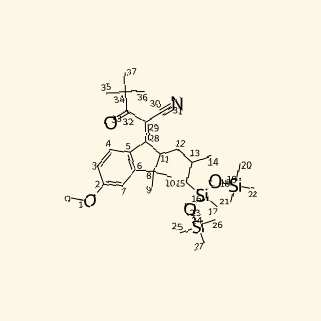 COc1ccc2c(c1)C(C)(C)C(CC(C)C[Si](C)(O[Si](C)(C)C)O[Si](C)(C)C)C2=C(C#N)C(=O)C(C)(C)C